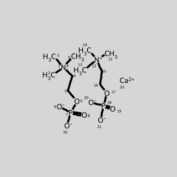 C[N+](C)(C)CCOP(=O)([O-])[O-].C[N+](C)(C)CCOP(=O)([O-])[O-].[Ca+2]